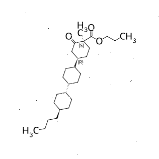 CCCC[C@H]1CC[C@H](C2CCC([C@@H]3CC[C@](C)(C(=O)OCCC)C(=O)C3)CC2)CC1